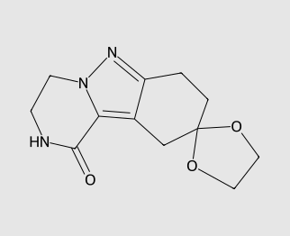 O=C1NCCn2nc3c(c21)CC1(CC3)OCCO1